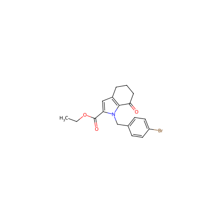 CCOC(=O)c1cc2c(n1Cc1ccc(Br)cc1)C(=O)CCC2